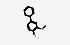 Cc1ccc(C2C=CC=CC2)cc1OI